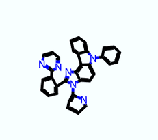 c1ccc(-n2c3ccccc3c3c4nc(-c5ccccc5-c5ncccn5)n(-c5ccccn5)c4ccc32)cc1